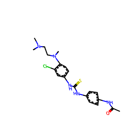 CC(=O)Nc1ccc(NC(=S)Nc2ccc(N(C)CCN(C)C)c(Cl)c2)cc1